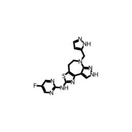 Fc1cnc(Nc2nc3c(s2)CCN(Cc2ccn[nH]2)c2n[nH]cc2-3)nc1